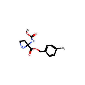 CC(C)(C)OC(=O)NC1(C(=O)OCc2ccc([N+](=O)[O-])cc2)CCN=N1